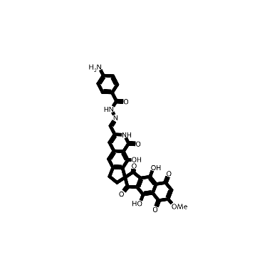 COC1=CC(=O)c2c(O)c3c(c(O)c2C1=O)C(=O)C1(CCc2cc4cc(C=NNC(=O)c5ccc(N)cc5)[nH]c(=O)c4c(O)c21)C3=O